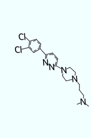 CN(C)CCCN1CCN(c2ccc(-c3ccc(Cl)c(Cl)c3)nn2)CC1